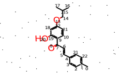 Cc1ccc(/C=C/C(=O)c2ccc(OCC(C)C)cc2O)cc1